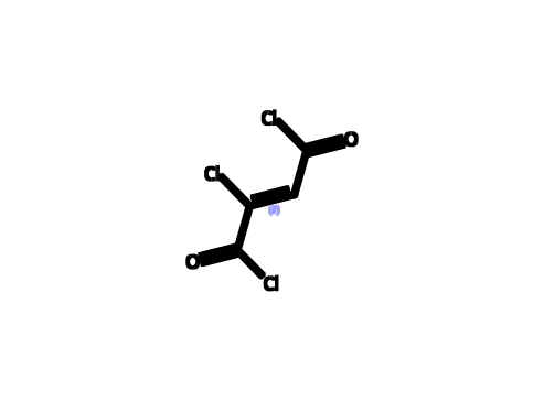 O=C(Cl)/C=C(\Cl)C(=O)Cl